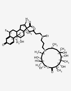 CCC(=O)[C@@]1(CC(=O)CCN(CC)CCCN2C[C@H](C)C[C@@](C)(O)[C@H](O)[C@@H](C)[C@H](O)[C@@H](C)C(=O)O[C@H](CC)[C@@](C)(O)[C@H](O)[C@H]2C)[C@H](C)CC2C3C[C@H](F)C4=CC(=O)C=C[C@]4(C)[C@@]3(F)[C@@H](O)C[C@@]21C